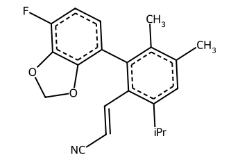 Cc1cc(C(C)C)c(C=CC#N)c(-c2ccc(F)c3c2OCO3)c1C